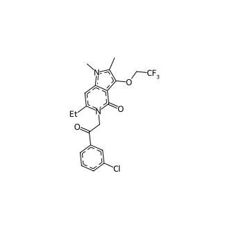 CCc1cc2c(c(OCC(F)(F)F)c(C)n2C)c(=O)n1CC(=O)c1cccc(Cl)c1